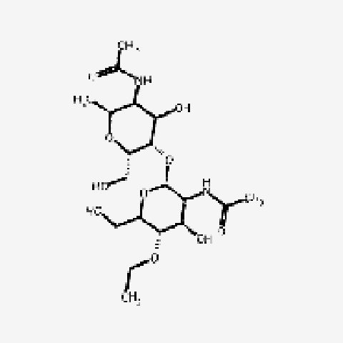 CCO[C@@H]1C(CO)O[C@@H](O[C@H]2C(O)C(NC(C)=O)[C@H](C)O[C@H]2CO)C(NC(C)=O)[C@H]1O